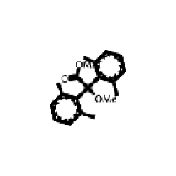 COC(=O)C(OC)(c1c(C)cccc1C)c1c(C)cccc1C